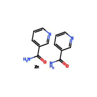 NC(=O)c1cccnc1.NC(=O)c1cccnc1.[Zn]